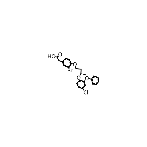 C[C@H](CCOc1ccc(CC(=O)O)cc1Br)Oc1ccc(Cl)cc1Oc1ccccc1